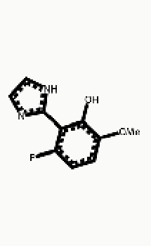 COc1ccc(F)c(-c2ncc[nH]2)c1O